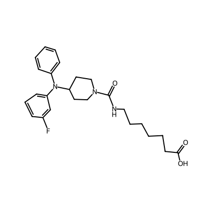 O=C(O)CCCCCCNC(=O)N1CCC(N(c2ccccc2)c2cccc(F)c2)CC1